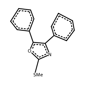 CSc1nc(-c2ccccc2)c(-c2ccccc2)o1